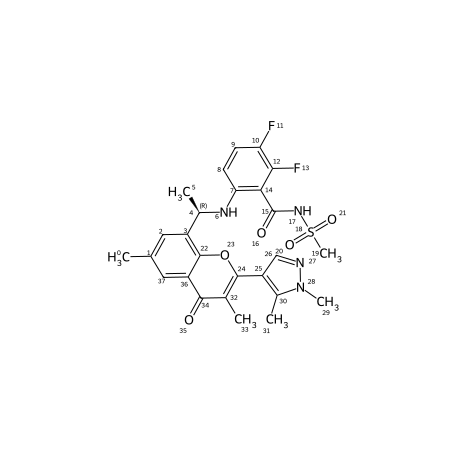 Cc1cc([C@@H](C)Nc2ccc(F)c(F)c2C(=O)NS(C)(=O)=O)c2oc(-c3cnn(C)c3C)c(C)c(=O)c2c1